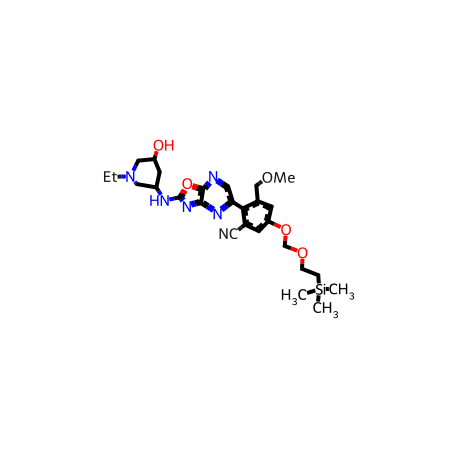 CCN1CC(O)CC(Nc2nc3nc(-c4c(C#N)cc(OCOCC[Si](C)(C)C)cc4COC)cnc3o2)C1